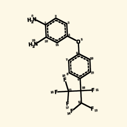 Nc1ccc(Oc2ccc(C(F)(C(F)F)C(F)(F)F)cc2)cc1N